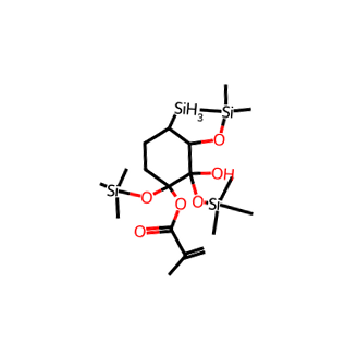 C=C(C)C(=O)OC1(O[Si](C)(C)C)CCC([SiH3])C(O[Si](C)(C)C)C1(O)O[Si](C)(C)C